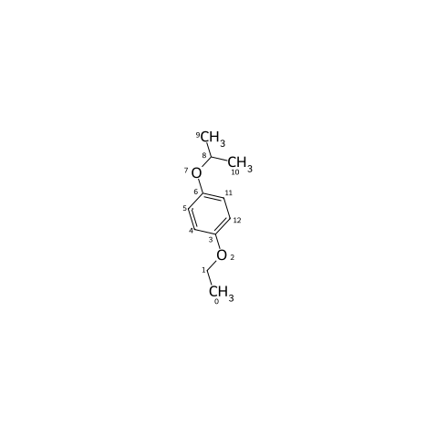 CCOc1c[c]c(OC(C)C)cc1